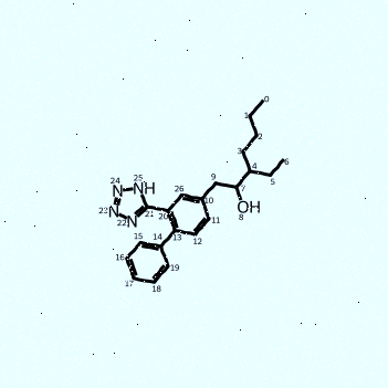 CCCCC(CC)C(O)Cc1ccc(-c2ccccc2)c(-c2nnn[nH]2)c1